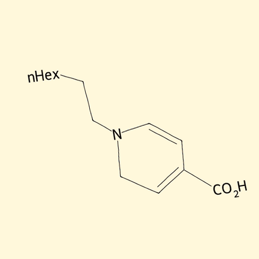 CCCCCCCCN1C=CC(C(=O)O)=CC1